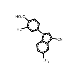 Cc1ccc2c(c1)c(C#N)cn2-c1ccc(C(=O)O)c(O)c1